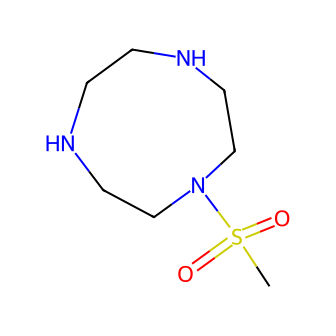 CS(=O)(=O)N1CCNCCNCC1